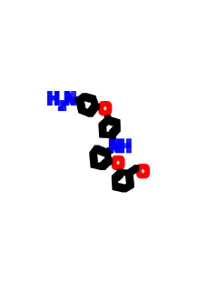 Nc1ccc(Oc2ccc(Nc3ccccc3Oc3ccccc3C=O)cc2)cc1